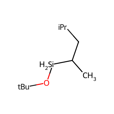 CC(C)CC(C)[SiH2]OC(C)(C)C